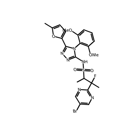 COc1cccc(OC)c1-n1c(NS(=O)(=O)C(C)C(C)(F)c2ncc(Br)cn2)nnc1-c1ccc(C)o1